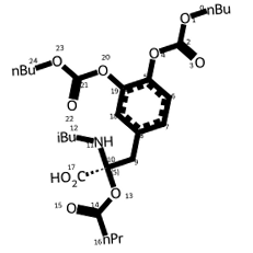 CCCCOC(=O)Oc1ccc(C[C@](NC(C)CC)(OC(=O)CCC)C(=O)O)cc1OC(=O)OCCCC